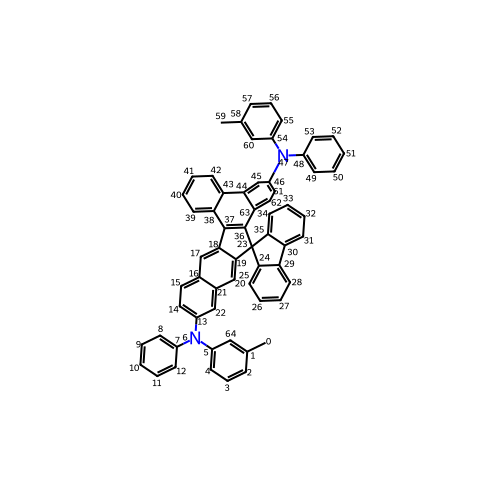 Cc1cccc(N(c2ccccc2)c2ccc3cc4c(cc3c2)C2(c3ccccc3-c3ccccc32)c2c-4c3ccccc3c3cc(N(c4ccccc4)c4cccc(C)c4)ccc23)c1